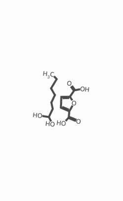 CCCCCCC(O)O.O=C(O)c1ccc(C(=O)O)o1